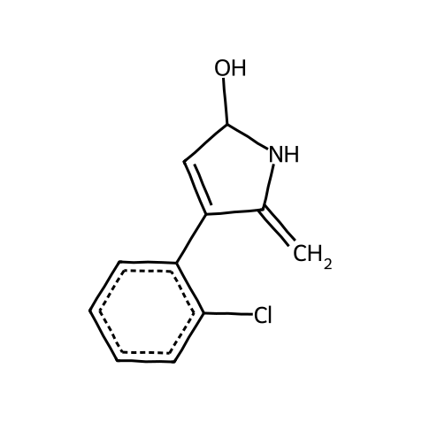 C=C1NC(O)C=C1c1ccccc1Cl